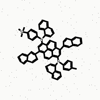 Cc1ccc(N(c2cccc3ccccc23)c2cc(-c3ccc4ccccc4c3)c3ccc4c(N(c5ccc([Si](C)(C)C)cc5)c5cccc6ccccc56)cc(-c5ccc6ccccc6c5)c5ccc2c3c54)cc1